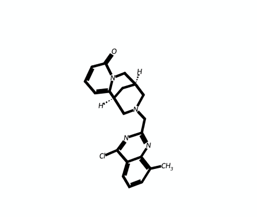 Cc1cccc2c(Cl)nc(CN3C[C@H]4C[C@@H](C3)c3cccc(=O)n3C4)nc12